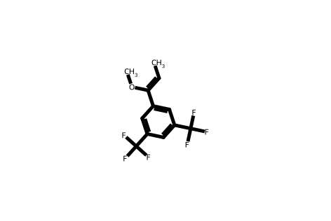 CC=C(OC)c1cc(C(F)(F)F)cc(C(F)(F)F)c1